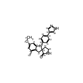 COc1cc(F)c2c(c1)N(c1ccc(-c3cn[nH]c3)cc1)C1(CCNC1=O)C2